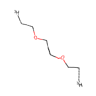 [3H]CCOCCOCC[3H]